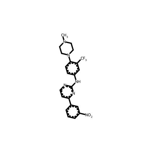 CN1CCN(c2ccc(Nc3nccc(-c4cccc([N+](=O)[O-])c4)n3)cc2C(F)(F)F)CC1